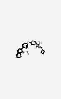 Cc1c(-c2ccc(OC3CCN(C(=O)NCC4CCC4)CC3)cc2)ccc2cccnc12